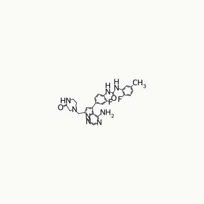 Cc1ccc(F)c(NC(=O)Nc2ccc(-c3cc(CN4CCNC(=O)C4)n4ncnc(N)c34)cc2F)c1